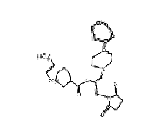 O=C(O)C=CC(=O)O.O=C(OC(CN1CCN(c2ccccn2)CC1)CN1C(=O)CCC1=O)C1CCCCC1